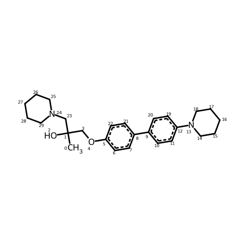 CC(O)(COc1ccc(-c2ccc(N3CCCCC3)cc2)cc1)CN1CCCCC1